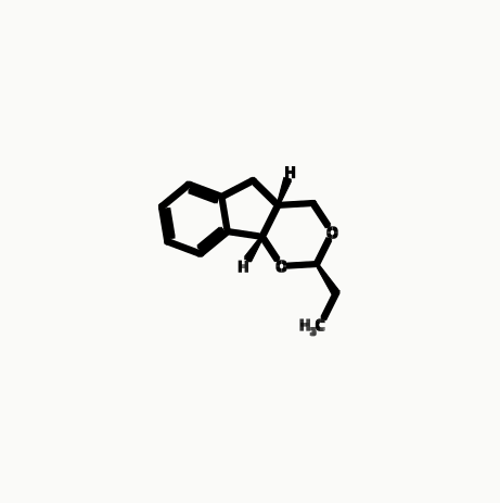 CC[C@@H]1OC[C@H]2Cc3ccccc3[C@H]2O1